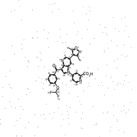 Cc1noc(C)c1-c1cnc2c(C(=O)c3cccc(OC(F)F)c3)cn(-c3ccnc(C(=O)O)c3)c2c1